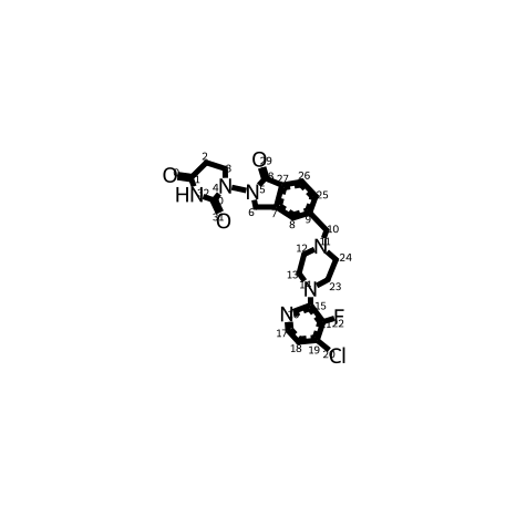 O=C1CCN(N2Cc3cc(CN4CCN(c5nccc(Cl)c5F)CC4)ccc3C2=O)C(=O)N1